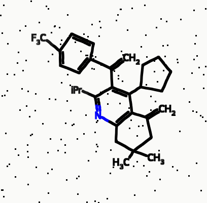 C=C1CC(C)(C)Cc2nc(C(C)C)c(C(=C)c3ccc(C(F)(F)F)cc3)c(C3CCCC3)c21